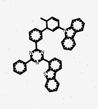 CC1C=CC(n2c3ccccc3c3ccccc32)=CC1c1cccc(-c2nc(-c3ccccc3)nc(-c3cccc4c3sc3ccccc34)n2)c1